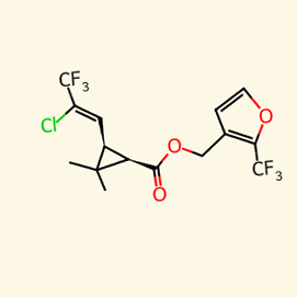 CC1(C)[C@H](C(=O)OCc2ccoc2C(F)(F)F)[C@@H]1/C=C(\Cl)C(F)(F)F